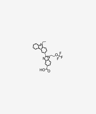 CCn1c2ccccc2c2cc(-c3nc4cc(C(=O)O)ccc4n3CCOC(F)(F)F)ccc21